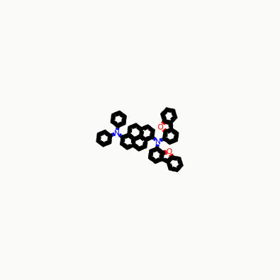 c1ccc(N(c2ccccc2)c2ccc3ccc4c(N(c5cccc6c5oc5ccccc56)c5cccc6c5oc5ccccc56)ccc5ccc2c3c54)cc1